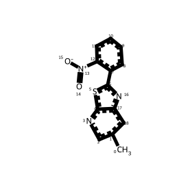 Cc1cnc2sc(-c3ccccc3[N+](=O)[O-])nc2c1